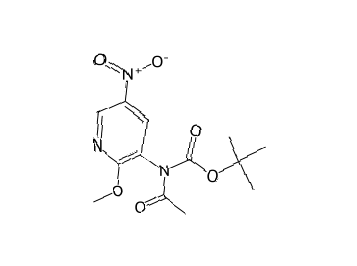 COc1ncc([N+](=O)[O-])cc1N(C(C)=O)C(=O)OC(C)(C)C